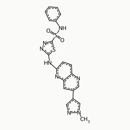 Cn1cc(-c2cnc3ccc(Nc4nnc(S(=O)(=O)Nc5ccccc5)s4)nc3c2)cn1